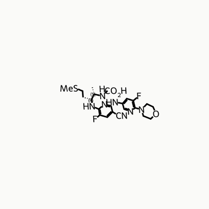 CSCC[C@@H](Nc1nc(Nc2cnc(N3CCOCC3)c(F)c2)c(C#N)cc1F)[C@H](C)NC(=O)O